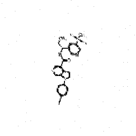 CC[C@H](NC(=O)c1cncc2c1ccn2-c1ccc(F)cc1)c1cncc(S(C)(=O)=O)c1